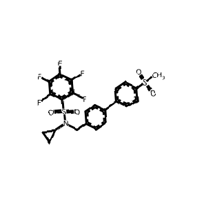 CS(=O)(=O)c1ccc(-c2ccc(CN(C3CC3)S(=O)(=O)c3c(F)c(F)c(F)c(F)c3F)cc2)cc1